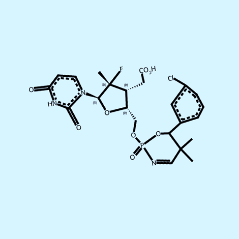 CC1(C)C=NP(=O)(OC[C@@H]2O[C@@H](n3ccc(=O)[nH]c3=O)[C@](C)(F)[C@@H]2CC(=O)O)OC1c1cccc(Cl)c1